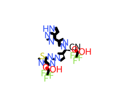 N#CC[C@@H]([C@H]1CCN(c2ncc3ncsc3n2)C1)n1cc(-c2ncnc3[nH]ccc23)cn1.O=C(O)C(F)(F)F.O=C(O)C(F)(F)F